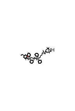 C=Cc1ccc(C[PH](CCCC[PH](CCCC[N+](C)(C)C2CC(C)(C)NC(C)(C)C2)(c2ccccc2)c2ccccc2)(c2ccccc2)c2ccccc2)cc1